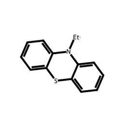 C[CH]N1c2ccccc2Sc2ccccc21